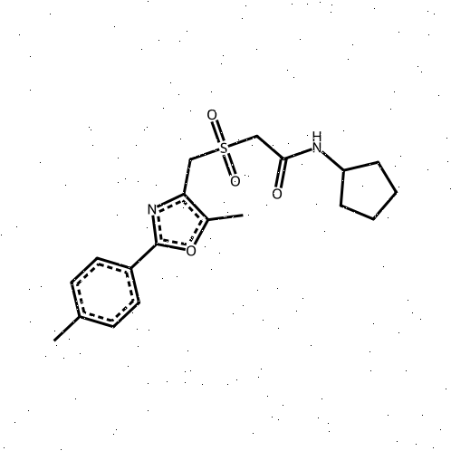 Cc1ccc(-c2nc(CS(=O)(=O)CC(=O)NC3CCCC3)c(C)o2)cc1